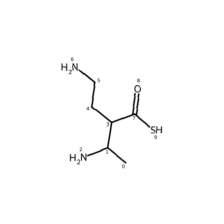 CC(N)C(CCN)C(=O)S